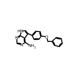 Nc1ncnc2[nH]cc(-c3ccc(OCc4ccccc4)cc3)c12